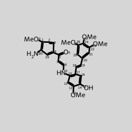 COc1ccc(C(=O)C=CNc2cc(OC)c(O)cc2C=Cc2cc(OC)c(OC)c(OC)c2)cc1N